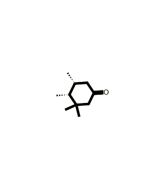 C[C@@H]1CC(=O)CC(C)(C)[C@@H]1C